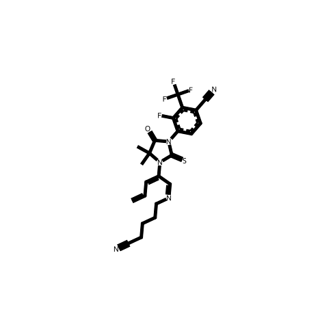 C=C/C=C(\C=N/CCCCC#N)N1C(=S)N(c2ccc(C#N)c(C(F)(F)F)c2F)C(=O)C1(C)C